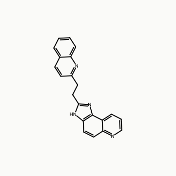 c1ccc2nc(CCc3nc4c(ccc5ncccc54)[nH]3)ccc2c1